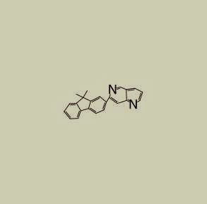 CC1(C)c2ccccc2-c2ccc(-c3cc4ncccc4cn3)cc21